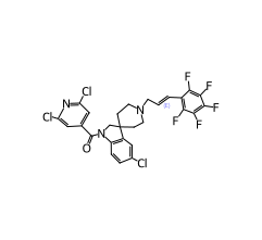 O=C(c1cc(Cl)nc(Cl)c1)N1CC2(CCN(C/C=C/c3c(F)c(F)c(F)c(F)c3F)CC2)c2cc(Cl)ccc21